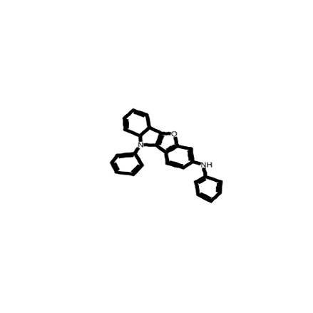 C1=CC2c3oc4cc(Nc5ccccc5)ccc4c3N(c3ccccc3)C2C=C1